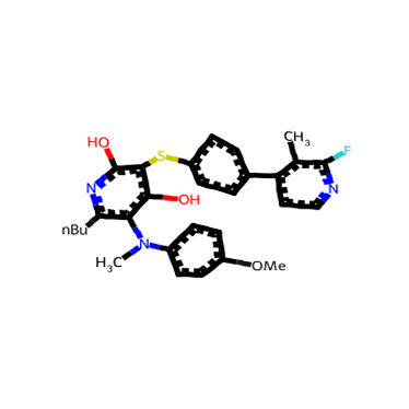 CCCCc1nc(O)c(Sc2ccc(-c3ccnc(F)c3C)cc2)c(O)c1N(C)c1ccc(OC)cc1